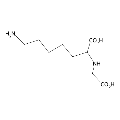 NCCCCCC(NCC(=O)O)C(=O)O